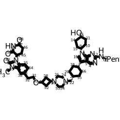 CCC[C@H](C)Nc1ncc2c(n1)n([C@H]1CC[C@H](O)CC1)cc2[C@H]1CC[C@@H](CN2CCN(C3CC(OCCc4ccc5c(c4)n(C)c(=O)n5C4CCC(=O)NC4=O)C3)CC2)CC1